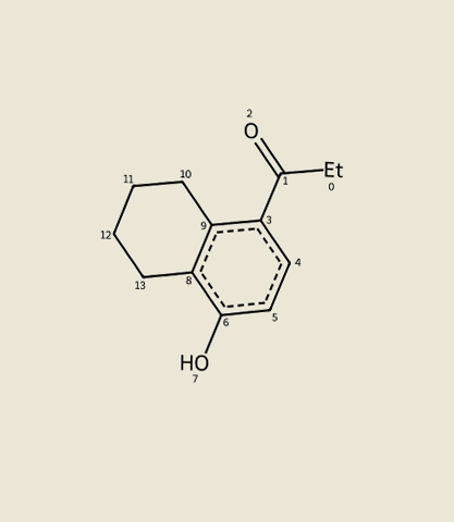 CCC(=O)c1ccc(O)c2c1CCCC2